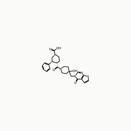 O=C(O)N1CC[C@H](C(=O)N2CCC(O)(Cn3cnc4sccc4c3=O)CC2)[C@@H](c2ccccc2)C1